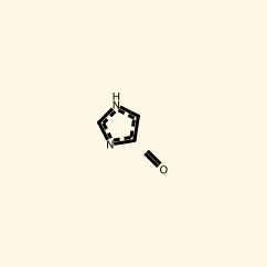 C=O.c1c[nH]cn1